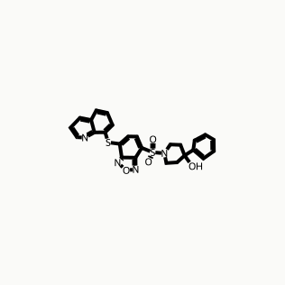 O=S(=O)(c1ccc(Sc2cccc3cccnc23)c2nonc12)N1CCC(O)(c2ccccc2)CC1